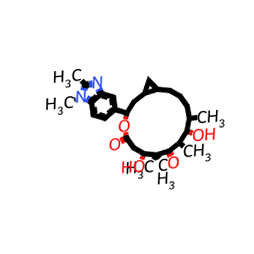 Cc1nc2cc(C3CC4CC4CCCC(C)C(O)C(C)C(=O)C(C)(C)C(O)CC(=O)O3)ccc2n1C